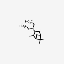 CC1C(N(CC(=O)O)CC(=O)O)CC2CC1C2(C)C